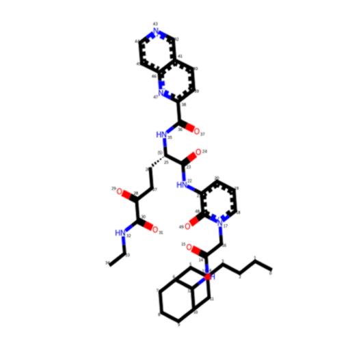 CCCCC1CC2CCCC(C1)C2NC(=O)Cn1cccc(NC(=O)[C@H](CCC(=O)C(=O)NCC)NC(=O)c2ccc3cnccc3n2)c1=O